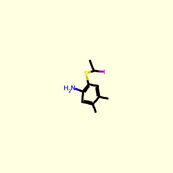 Cc1cc(N)c(SC(C)I)cc1C